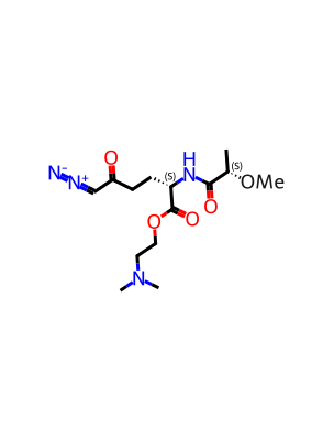 CO[C@@H](C)C(=O)N[C@@H](CCC(=O)C=[N+]=[N-])C(=O)OCCN(C)C